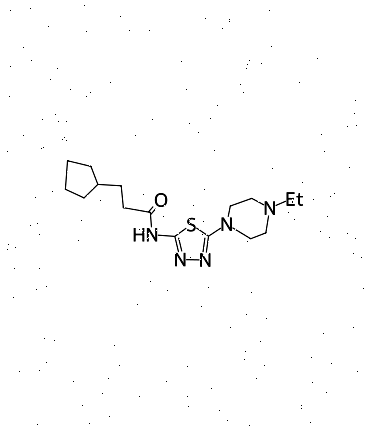 CCN1CCN(c2nnc(NC(=O)CCC3CCCC3)s2)CC1